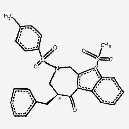 Cc1ccc(S(=O)(=O)N2Cc3c(c4ccccc4n3S(C)(=O)=O)C(=O)[C@@H](Cc3ccccc3)C2)cc1